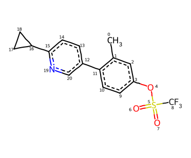 Cc1cc(OS(=O)(=O)C(F)(F)F)ccc1-c1ccc(C2CC2)nc1